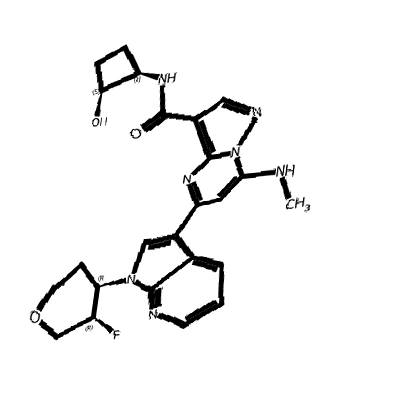 CNc1cc(-c2cn([C@@H]3CCOC[C@@H]3F)c3ncccc23)nc2c(C(=O)N[C@@H]3CC[C@@H]3O)cnn12